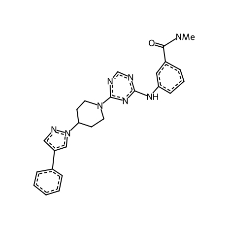 CNC(=O)c1cccc(Nc2ncnc(N3CCC(n4cc(-c5ccccc5)cn4)CC3)n2)c1